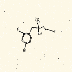 N#CC(C#N)(CCF)Cc1ccc(Br)cc1F